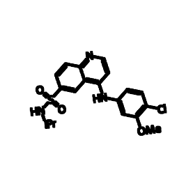 COc1cc(Nc2ccnc3ccc(S(=O)(=O)NC(C)C)cc23)ccc1Cl